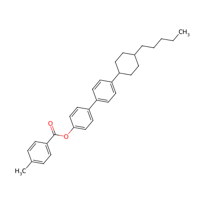 CCCCCC1CCC(c2ccc(-c3ccc(OC(=O)c4ccc(C)cc4)cc3)cc2)CC1